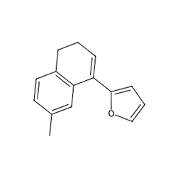 Cc1ccc2c(c1)C(c1ccco1)=CCC2